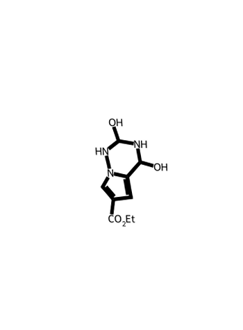 CCOC(=O)c1cc2n(c1)NC(O)NC2O